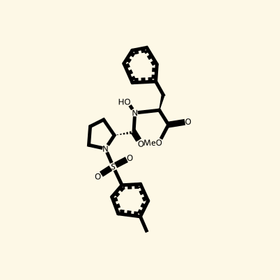 COC(=O)[C@H](Cc1ccccc1)N(O)C(=O)[C@H]1CCCN1S(=O)(=O)c1ccc(C)cc1